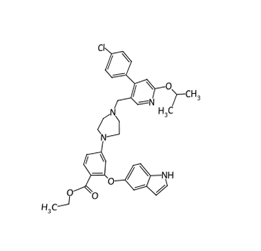 CCOC(=O)c1ccc(N2CCN(Cc3cnc(OC(C)C)cc3-c3ccc(Cl)cc3)CC2)cc1Oc1ccc2[nH]ccc2c1